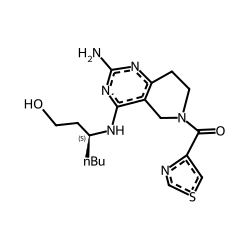 CCCC[C@@H](CCO)Nc1nc(N)nc2c1CN(C(=O)c1cscn1)CC2